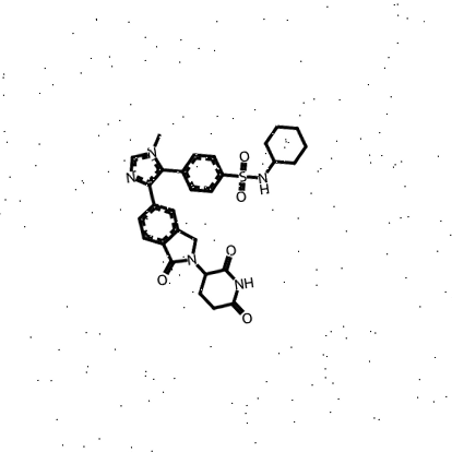 Cn1cnc(-c2ccc3c(c2)CN(C2CCC(=O)NC2=O)C3=O)c1-c1ccc(S(=O)(=O)NC2CCCCC2)cc1